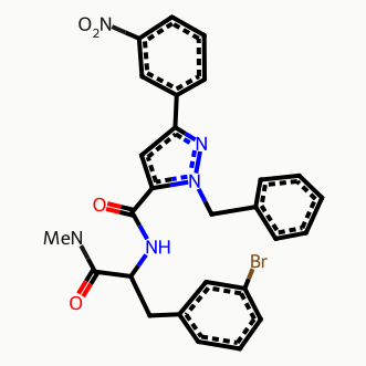 CNC(=O)C(Cc1cccc(Br)c1)NC(=O)c1cc(-c2cccc([N+](=O)[O-])c2)nn1Cc1ccccc1